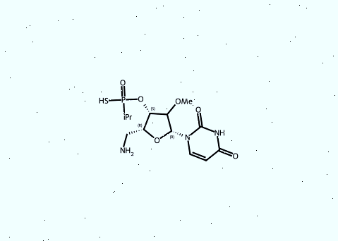 COC1[C@@H](OP(=O)(S)C(C)C)[C@@H](CN)O[C@H]1n1ccc(=O)[nH]c1=O